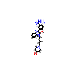 N=C(N)c1cccc(-c2nc3ccccc3n(CCCCCN3CCC(=O)CC3)c2=O)c1